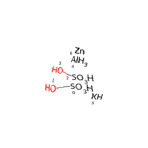 O=S(=O)(O)O.O=S(=O)(O)O.[AlH3].[KH].[Zn]